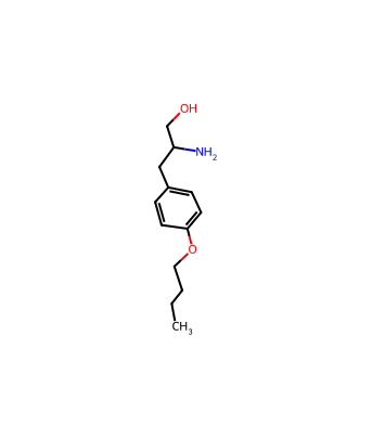 CCCCOc1ccc(CC(N)CO)cc1